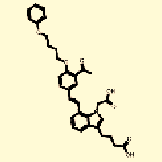 CC(=O)c1cc(C=Cc2cccc3c(CCCC(=O)O)cn(CC(=O)O)c23)ccc1OCCCCOc1ccccc1